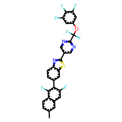 Cc1ccc2c(F)c(-c3ccc4nc(-c5cnc(C(F)(F)Oc6cc(F)c(F)c(F)c6)nc5)sc4c3)c(F)cc2c1